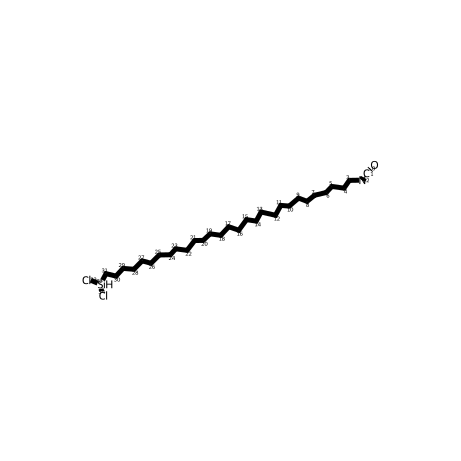 O=C=NCCCCCCCCCCCCCCCCCCCCCCCCCCCCC[SiH](Cl)Cl